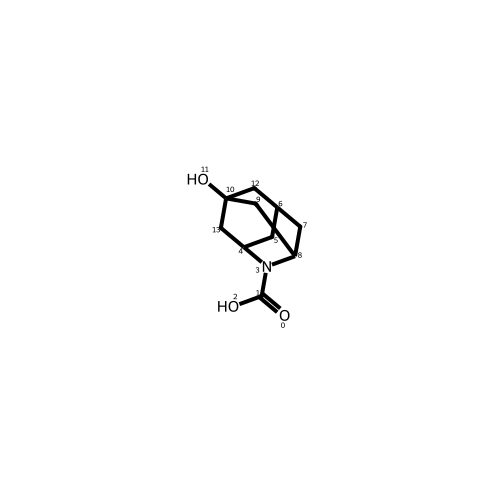 O=C(O)N1C2CC3CC1CC(O)(C3)C2